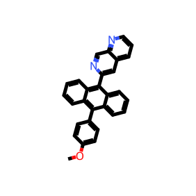 COc1ccc(-c2c3ccccc3c(-c3cc4cccnc4cn3)c3ccccc23)cc1